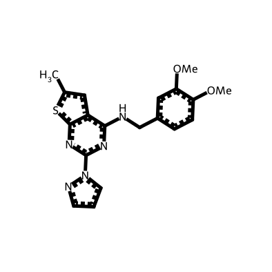 COc1ccc(CNc2nc(-n3cccn3)nc3sc(C)cc23)cc1OC